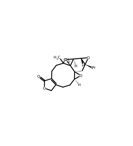 CC(C)[C@@]12C[C@]34O[C@H]3CCC3=C(CCC(C)(C)[C@@]45O[C@H]5[C@@H]1O2)C(=O)OC3